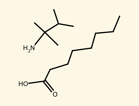 CC(C)C(C)(C)N.CCCCCCCC(=O)O